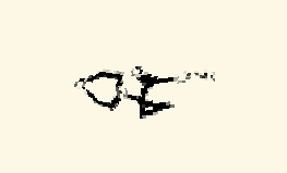 COC(=O)C1(N2CCOCC2)CC1